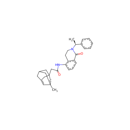 C[C@@H](c1ccccc1)N1CCc2c(NC(=O)CC34CC5=CC(C)(CC(C5)C3)C4)cccc2C1=O